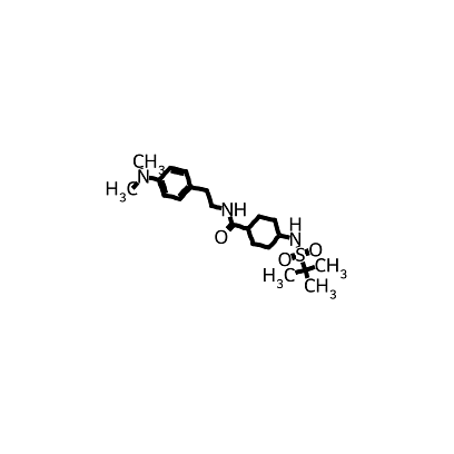 CN(C)c1ccc(CCNC(=O)C2CCC(NS(=O)(=O)C(C)(C)C)CC2)cc1